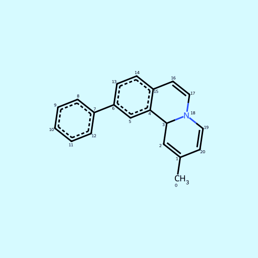 CC1=CC2c3cc(-c4ccccc4)ccc3C=CN2C=C1